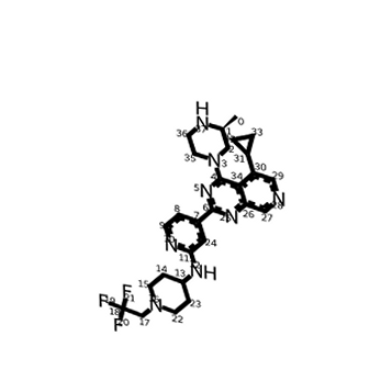 C[C@H]1CN(c2nc(-c3ccnc(NC4CCN(CC(F)(F)F)CC4)c3)nc3cncc(C4CC4)c23)CCN1